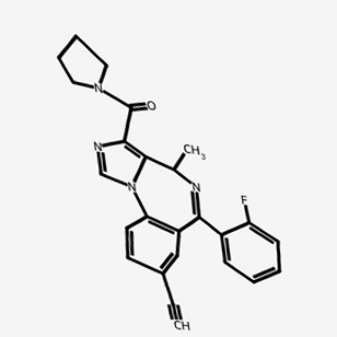 C#Cc1ccc2c(c1)C(c1ccccc1F)=NC(C)c1c(C(=O)N3CCCC3)ncn1-2